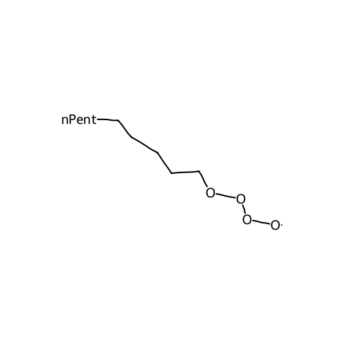 CCCCCCCCCCOOO[O]